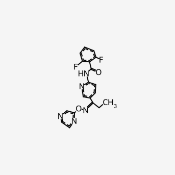 CC/C(=N/Oc1cnccn1)c1ccc(NC(=O)c2c(F)cccc2F)nc1